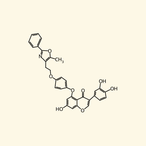 Cc1oc(-c2ccccc2)nc1CCOc1ccc(Oc2cc(O)cc3occ(-c4ccc(O)c(O)c4)c(=O)c23)cc1